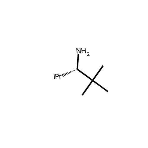 CC(C)[C@H](N)C(C)(C)C